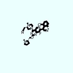 C=c1cccc(Cl)/c1=C(/C=N\C)c1ncc2c(N3CCN(C)[C@@H](CC#N)C3)nc(OC[C@@H]3CCCN3C)nc2c1F